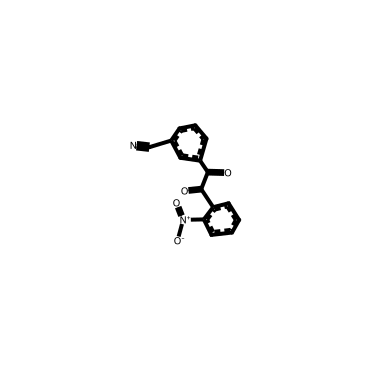 N#Cc1cccc(C(=O)C(=O)c2ccccc2[N+](=O)[O-])c1